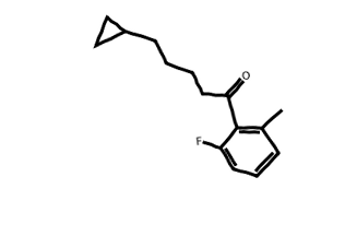 Cc1cccc(F)c1C(=O)CCCCC1CC1